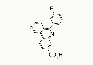 O=C(O)c1ccc2c(c1)nc(-c1cccc(F)c1)c1ccncc12